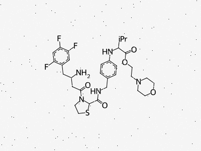 CC(C)C(Nc1ccc(CNC(=O)C2SCCN2C(=O)CC(N)Cc2cc(F)c(F)cc2F)cc1)C(=O)OCCN1CCOCC1